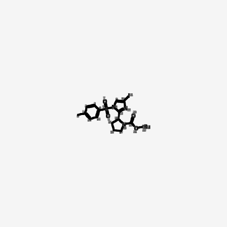 Cc1ccc(S(=O)(=O)n2cc(I)nc2[C@@H]2CCCN2C(=O)OC(C)(C)C)cc1